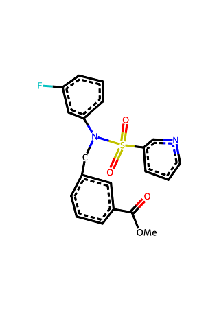 COC(=O)c1cccc(CN(c2cccc(F)c2)S(=O)(=O)c2cccnc2)c1